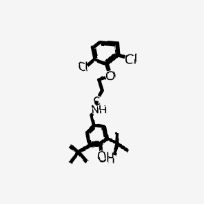 CC(C)(C)c1cc(CNCCCOc2c(Cl)cccc2Cl)cc(C(C)(C)C)c1O